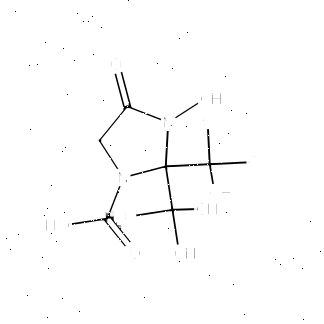 CN1C(=O)CN(C(=O)O)C1(C(C)(C)C)C(C)(C)C